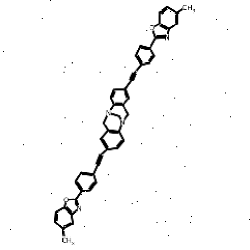 Cc1ccc2oc(-c3ccc(C#Cc4ccc5c(c4)CN4CN5Cc5cc(C#Cc6ccc(-c7nc8cc(C)ccc8o7)cc6)ccc54)cc3)nc2c1